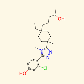 CCC1(CCCC(C)O)CCC(C)(c2nnc(-c3ccc(O)cc3Cl)n2C)CC1